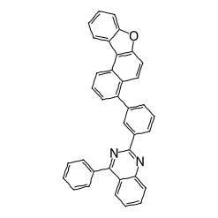 c1ccc(-c2nc(-c3cccc(-c4cccc5c4ccc4oc6ccccc6c45)c3)nc3ccccc23)cc1